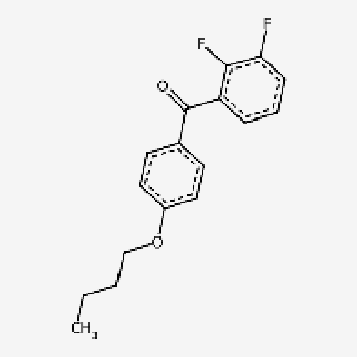 CCCCOc1ccc(C(=O)c2cccc(F)c2F)cc1